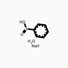 O.O=S(O)c1ccccc1.[NaH]